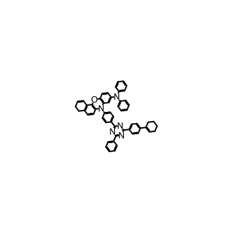 C1=Cc2c(ccc3c2Oc2ccc(N(c4ccccc4)c4ccccc4)cc2N3c2ccc(-c3nc(-c4ccccc4)nc(-c4ccc(C5=CCCCC5)cc4)n3)cc2)CC1